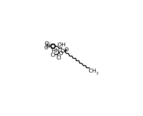 CCCCCCCCCCCCCCCC(=O)OCC(NC(=O)C(Cl)Cl)C(O)c1ccc([N+](=O)[O-])cc1